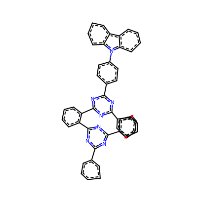 c1ccc(-c2nc(-c3ccccc3)nc(-c3ccccc3-c3nc(-c4ccccc4)nc(-c4ccc(-n5c6ccccc6c6ccccc65)cc4)n3)n2)cc1